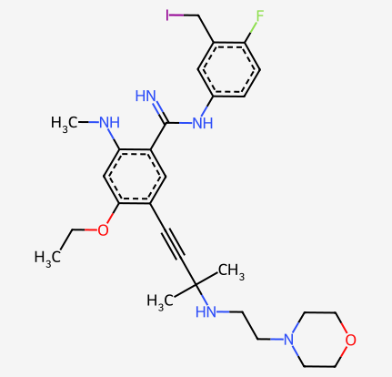 CCOc1cc(NC)c(C(=N)Nc2ccc(F)c(CI)c2)cc1C#CC(C)(C)NCCN1CCOCC1